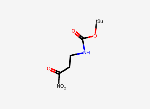 CC(C)(C)OC(=O)NCCC(=O)[N+](=O)[O-]